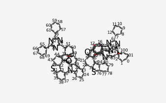 c1ccc(-c2nc(-c3ccccc3)nc(-c3ccc4oc5cc(-c6cccc7c6c6ccccc6n7-c6cccc7sc8ccc9c(oc%10cccc(-c%11nc(-c%12ccccc%12)nc(-c%12ccccc%12)n%11)c%109)c8c67)c6sc7cccc(-n8c9ccccc9c9ccccc98)c7c6c5c4c3)n2)cc1